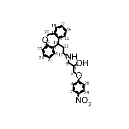 O=[N+]([O-])c1ccc(OCC(O)CNCCC2c3ccccc3COc3ccccc32)cc1